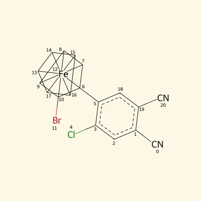 N#Cc1cc(Cl)c([C]23[CH]4[CH]5[CH]6[C]2(Br)[Fe]56432789[CH]3[CH]2[CH]7[CH]8[CH]39)cc1C#N